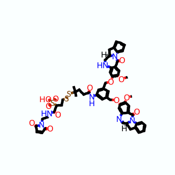 COc1cc2c(cc1OCc1cc(COc3cc4c(cc3OC)C(=O)N3c5ccccc5C[C@@H]3CN4)cc(NC(=O)CCC(C)(C)SSCCC(C(=O)NCCN3C(=O)C=CC3=O)S(=O)(=O)O)c1)N=C[C@@H]1Cc3ccccc3N1C2=O